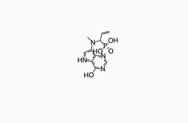 C=CC(N(C)c1c[nH]c2c(O)ncnc12)P(=O)(O)O